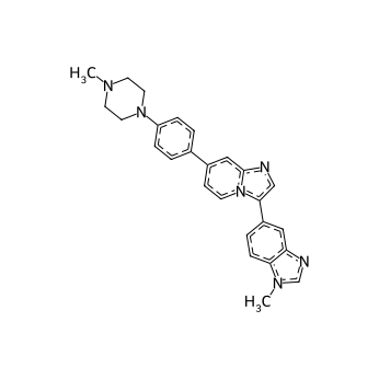 CN1CCN(c2ccc(-c3ccn4c(-c5ccc6c(c5)ncn6C)cnc4c3)cc2)CC1